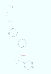 O=C(Nc1cccc(-c2ccc(SNCC3CCCO3)cc2)c1)C1(c2ccc3c(c2)OCO3)CC1